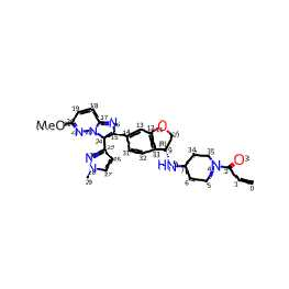 C=CC(=O)N1CCC(N[C@H]2COc3cc(-c4nc5ccc(OC)nn5c4-c4ccn(C)n4)ccc32)CC1